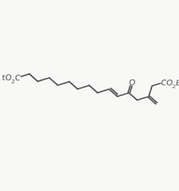 C=C(CC(=O)C=CCCCCCCCCC(=O)OCC)CC(=O)OCC